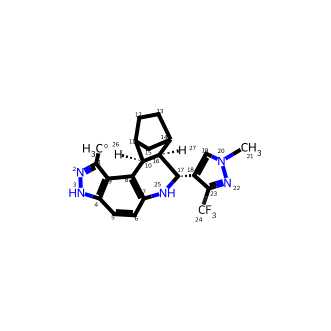 Cc1n[nH]c2ccc3c(c12)[C@H]1C2CCC(C2)[C@H]1[C@H](c1cn(C)nc1C(F)(F)F)N3